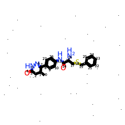 CC1CC(=O)NN=C1c1ccc(NC(=O)[C@@H](N)CSCc2ccccc2)cc1